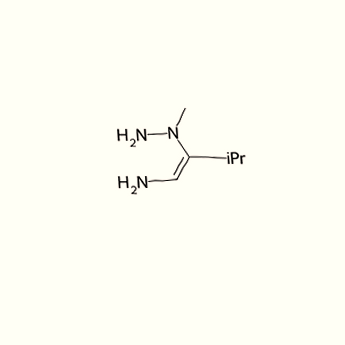 CC(C)/C(=C/N)N(C)N